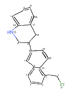 ClCc1cccc2cc(C3CNc4ccccc4C3)ccc12